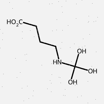 O=C(O)CCCNC(O)(O)O